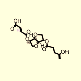 C=C(O)CCC(=O)O[C@H]1CO[C@H]2[C@@H]1OC[C@H]2OC(=O)/C=C/C(=O)O